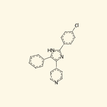 Clc1ccc(-c2nc(-c3ccncc3)c(-c3ccccc3)[nH]2)cc1